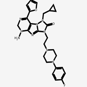 NN1CN=C(c2ccco2)c2c1nc1n(CCN3CCN(c4ccc(F)cc4)CC3)c(=O)n(CC3CC3)n21